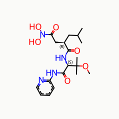 COC(C)(C)[C@H](NC(=O)[C@@H](CC(=O)N(O)O)CC(C)C)C(=O)Nc1ccccn1